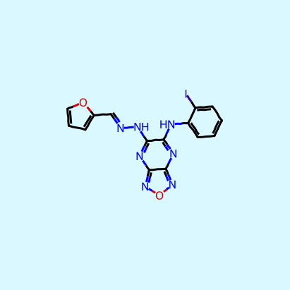 Ic1ccccc1Nc1nc2nonc2nc1NN=Cc1ccco1